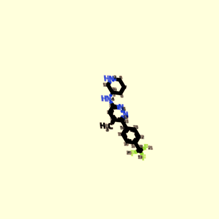 Cc1cc(N[C@@H]2CCCNC2)nnc1-c1ccc(C(F)(F)F)cc1